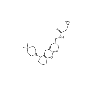 CC1(C)CCN(C2CCCC3=C2CC2=CC(CNC(=O)CC4CC4)CC=C2O3)CC1